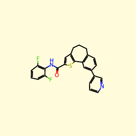 O=C(Nc1c(F)cccc1F)c1cc2c(s1)-c1cc(-c3cccnc3)ccc1CCC2